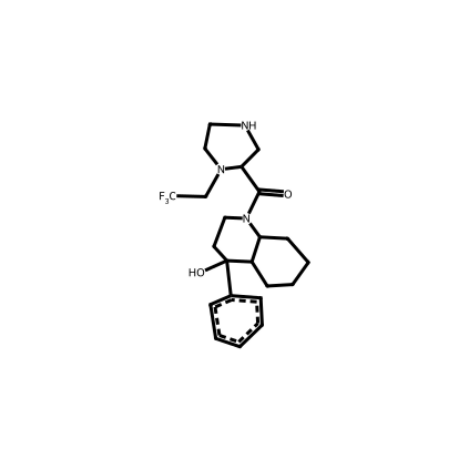 O=C(C1CNCCN1CC(F)(F)F)N1CCC(O)(c2ccccc2)C2CCCCC21